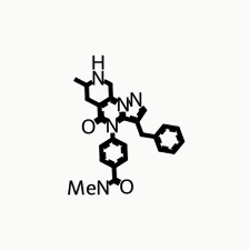 CNC(=O)c1ccc(-n2c(=O)c3c(n4ncc(Cc5ccccc5)c24)CNC(C)C3)cc1